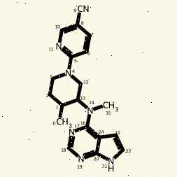 CC1CCN(c2ccc(C#N)cn2)CC1N(C)c1ncnc2[nH]ccc12